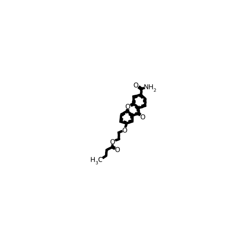 CCCC(=O)OCCOc1ccc2oc3cc(C(N)=O)ccc3c(=O)c2c1